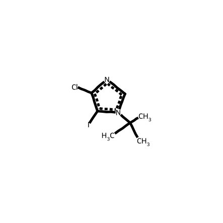 CC(C)(C)n1cnc(Cl)c1I